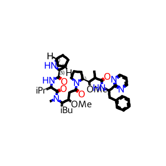 CCC(C)C(C(CC(=O)N1CCC[C@H]1C(OC)C(C)C(=O)NC(Cc1ccccc1)c1ncccn1)OC)N(C)C(=O)C(NC(=O)[C@H]1N[C@@H]2CC[C@H]1C2)C(C)C